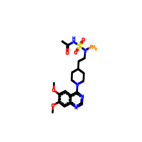 COc1cc2ncnc(N3CCC(CCN(P)S(=O)(=O)NC(C)=O)CC3)c2cc1OC